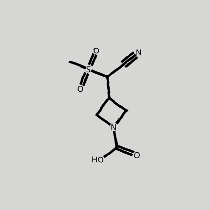 CS(=O)(=O)C(C#N)C1CN(C(=O)O)C1